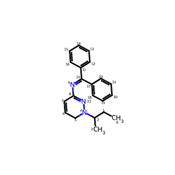 CCC(C)N1CC=CC(N=C(c2ccccc2)c2ccccc2)=N1